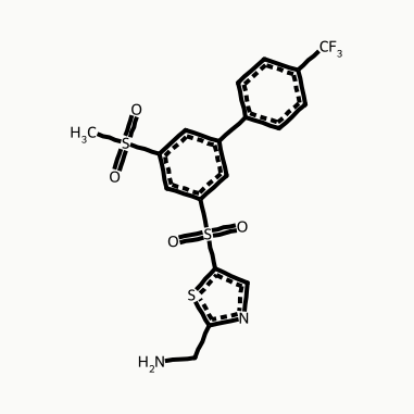 CS(=O)(=O)c1cc(-c2ccc(C(F)(F)F)cc2)cc(S(=O)(=O)c2cnc(CN)s2)c1